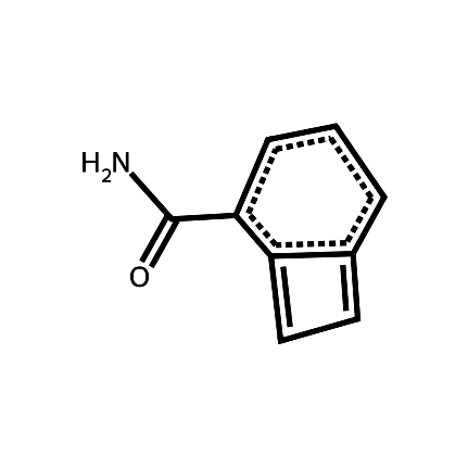 NC(=O)c1cccc2c1=CC=2